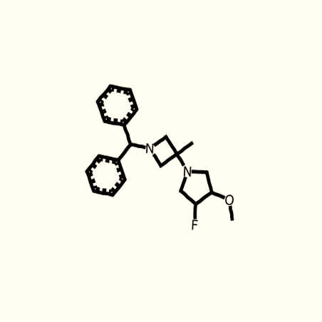 COC1CN(C2(C)CN(C(c3ccccc3)c3ccccc3)C2)CC1F